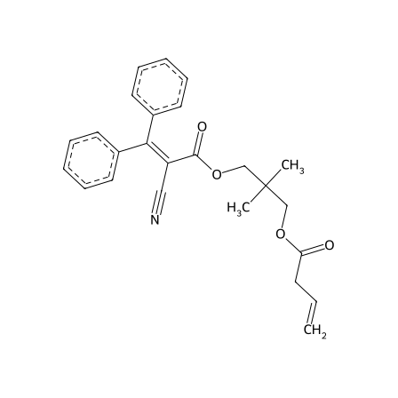 C=CCC(=O)OCC(C)(C)COC(=O)C(C#N)=C(c1ccccc1)c1ccccc1